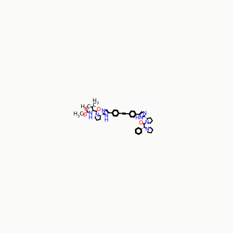 COC(=O)N[C@H](C(=O)N1CCC[C@H]1c1ncc(-c2ccc(C#Cc3ccc(-c4cnc([C@@H]5CCCN5C(=O)[C@@H](c5ccccc5)N5CCCC5)[nH]4)cc3)cc2)[nH]1)C(C)C